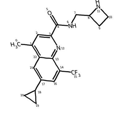 Cc1cc(C(=O)NCC2CCN2)nc2c(C(F)(F)F)cc(C3CC3)cc12